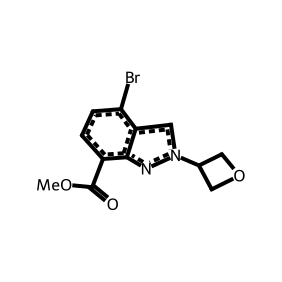 COC(=O)c1ccc(Br)c2cn(C3COC3)nc12